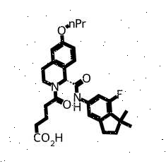 CCCOc1ccc2c(c1)CCN(C(=O)CCCC(=O)O)[C@H]2C(=O)Nc1cc(F)c2c(c1)CCC2(C)C